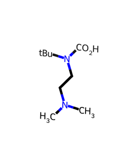 CN(C)CCN(C(=O)O)C(C)(C)C